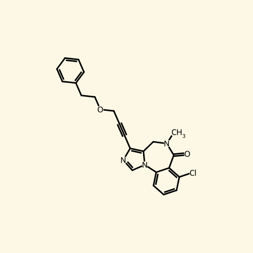 CN1Cc2c(C#CCOCCc3ccccc3)ncn2-c2cccc(Cl)c2C1=O